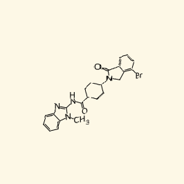 Cn1c(NC(=O)C2CCC(N3Cc4c(Br)cccc4C3=O)CC2)nc2ccccc21